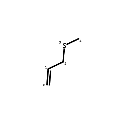 C=[C]CSC